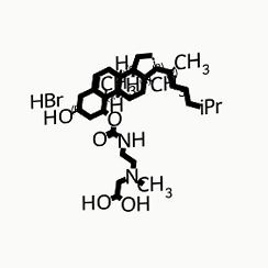 Br.CC(C)CCC[C@@H](C)[C@H]1CC[C@H]2[C@@H]3CC=C4C[C@@H](O)CC(OC(=O)NCCN(C)CC(O)O)[C@]4(C)[C@H]3CC[C@]12C